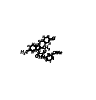 COc1nccc(NC(=O)C(=O)c2c(C)n(Cc3ccc(Cl)cc3)c3ccc(C)cc23)n1